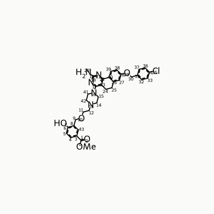 COC(=O)c1ccc(O)c(COCCN2CCN(c3nc(N)nc4c3CCc3cc(OCc5ccc(Cl)cc5)ccc3-4)CC2)c1